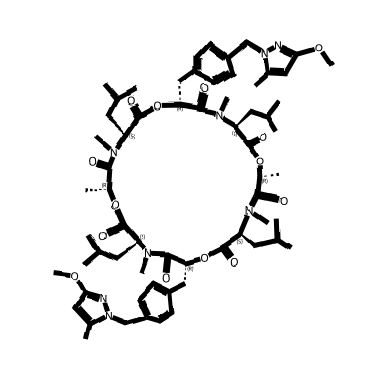 COc1cc(C)n(Cc2ccc(C[C@H]3OC(=O)[C@H](CC(C)C)N(C)C(=O)[C@@H](C)OC(=O)[C@H](CC(C)C)N(C)C(=O)[C@@H](Cc4ccc(Cn5nc(OC)cc5C)cc4)OC(=O)[C@H](CC(C)C)N(C)C(=O)[C@@H](C)OC(=O)[C@H](CC(C)C)N(C)C3=O)cc2)n1